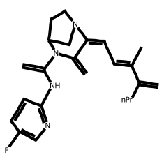 C=C(CCC)/C(C)=C/C=C1\C(=C)N(C(=C)Nc2ccc(F)cn2)C2CCN1C2